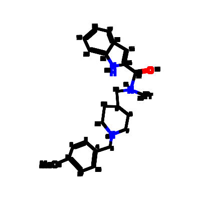 COc1ccc(CN2CCC(CN(C(=O)c3cc4ccccc4[nH]3)C(C)C)CC2)cc1